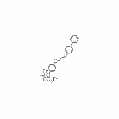 CCOC(=O)[C@](C)(CC)Oc1ccc(OC/C=C/c2ccc(-c3ccccc3)cc2)cc1